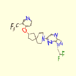 FC(F)Cn1ncc2ncc(N3CCC4(CCC(Oc5ccncc5C(F)(F)F)C4)CC3)nc21